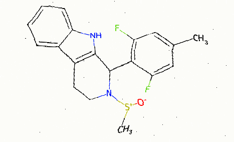 Cc1cc(F)c(C2c3[nH]c4ccccc4c3CCN2[S+](C)[O-])c(F)c1